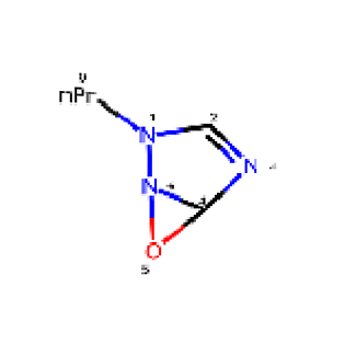 CCCN1C=NC2ON21